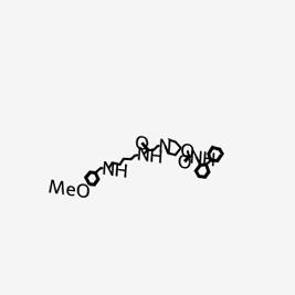 COc1ccc(CNCCCCCNC(=O)CCN2CCC(OC(=O)Nc3ccccc3-c3ccccc3)CC2)cc1